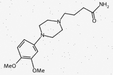 COc1ccc(N2CCN(CCCC(N)=O)CC2)cc1OC